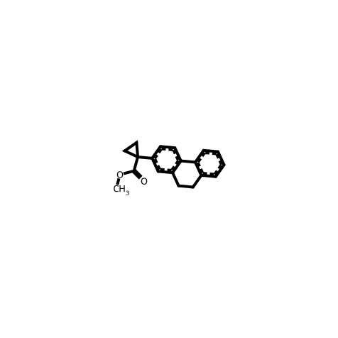 COC(=O)C1(c2ccc3c(c2)CCc2ccccc2-3)CC1